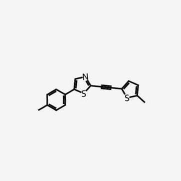 Cc1ccc(-c2cnc(C#Cc3ccc(C)s3)s2)cc1